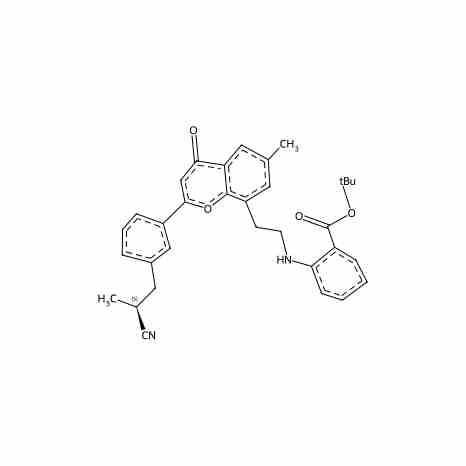 Cc1cc(CCNc2ccccc2C(=O)OC(C)(C)C)c2oc(-c3cccc(C[C@H](C)C#N)c3)cc(=O)c2c1